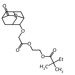 CCC(C)(C)C(=O)OCCOC(=O)COC1C2CC3CC(C2)C(=O)OC1C3